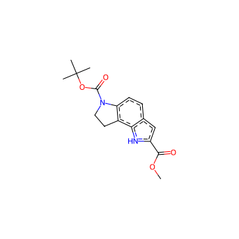 COC(=O)c1cc2ccc3c(c2[nH]1)CCN3C(=O)OC(C)(C)C